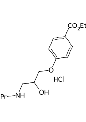 CCOC(=O)c1ccc(OCC(O)CNC(C)C)cc1.Cl